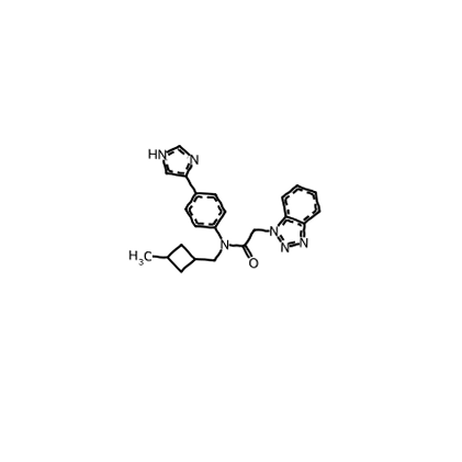 CC1CC(CN(C(=O)Cn2nnc3ccccc32)c2ccc(-c3c[nH]cn3)cc2)C1